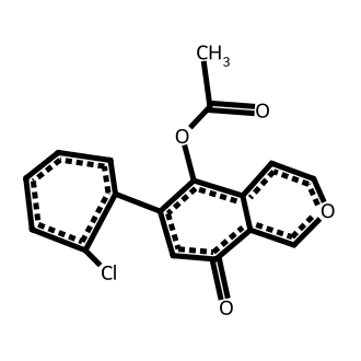 CC(=O)Oc1c(-c2ccccc2Cl)cc(=O)c2coccc1-2